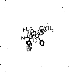 CCN(CC)CC1C(c2ccccc2)C2Oc3c(-c4ccc(Br)cc4)c(C#N)nc(OC)c3C2(O)C1O